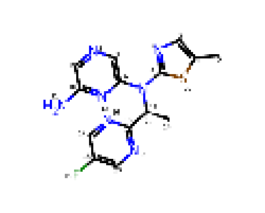 Cc1cnc(N(c2cncc(N)n2)[C@@H](C)c2ncc(F)cn2)s1